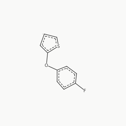 Fc1ccc(Oc2c[c]cs2)cc1